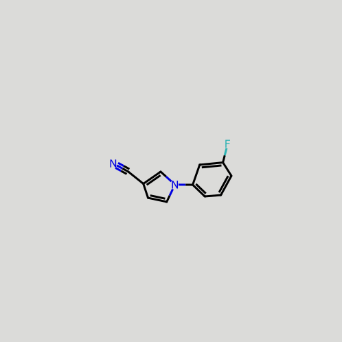 N#Cc1ccn(-c2cccc(F)c2)c1